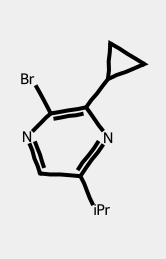 CC(C)c1cnc(Br)c(C2CC2)n1